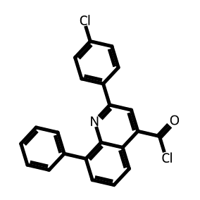 O=C(Cl)c1cc(-c2ccc(Cl)cc2)nc2c(-c3ccccc3)cccc12